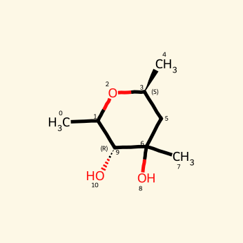 CC1O[C@@H](C)CC(C)(O)[C@@H]1O